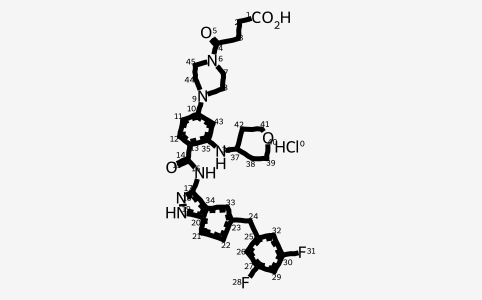 Cl.O=C(O)CCC(=O)N1CCN(c2ccc(C(=O)Nc3n[nH]c4ccc(Cc5cc(F)cc(F)c5)cc34)c(NC3CCOCC3)c2)CC1